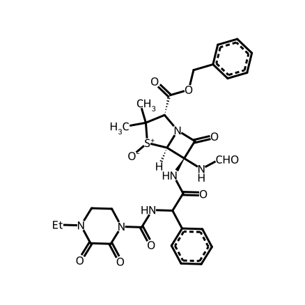 CCN1CCN(C(=O)NC(C(=O)N[C@]2(NC=O)C(=O)N3[C@@H](C(=O)OCc4ccccc4)C(C)(C)[S+]([O-])[C@@H]32)c2ccccc2)C(=O)C1=O